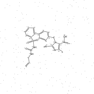 C=CCNC(=O)NS(=O)(=O)c1ccccc1-c1ccc(Cn2c(CCC)nc(C)c2C(O)=S)cc1